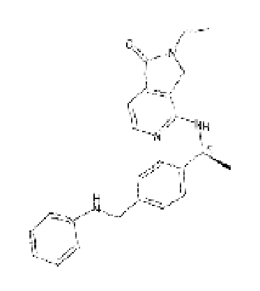 CCN1Cc2c(ccnc2N[C@@H](C)c2ccc(CNc3ccccc3)cc2)C1=O